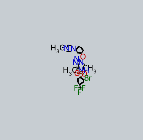 CCn1c(Oc2cccc(N3CCN(C)CC3)c2)nnc1[C@@H](C)NS(=O)(=O)c1ccc(C(F)(F)F)cc1Br